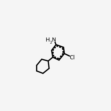 Nc1cc(Cl)cc(C2CCCCC2)c1